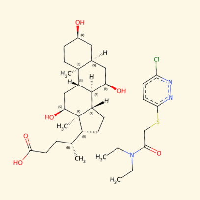 CCN(CC)C(=O)CSc1ccc(Cl)nn1.C[C@H](CCC(=O)O)[C@H]1CC[C@H]2[C@@H]3[C@H](O)C[C@@H]4C[C@H](O)CC[C@]4(C)[C@H]3C[C@H](O)[C@]12C